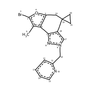 Cc1c(Br)oc2c1-c1nn(Cc3ccccn3)cc1C1(CC1)C2